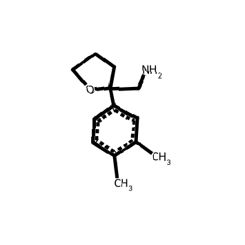 Cc1ccc(C2(CN)CCCO2)cc1C